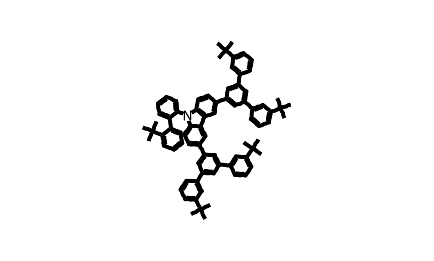 CC(C)(C)c1cccc(-c2cc(-c3cccc(C(C)(C)C)c3)cc(-c3ccc4c(c3)c3cc(-c5cc(-c6cccc(C(C)(C)C)c6)cc(-c6cccc(C(C)(C)C)c6)c5)ccc3n4-c3ccccc3-c3ccccc3C(C)(C)C)c2)c1